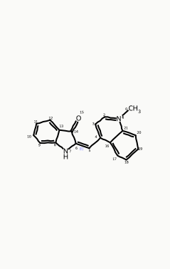 C[n+]1ccc(/C=C2/Nc3ccccc3C2=O)c2ccccc21